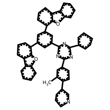 Cc1cc(-c2nc(-c3ccccc3)nc(-c3cc(-c4cccc5c4oc4ccccc45)cc(-c4cccc5c4oc4ccccc45)c3)n2)ccc1-c1cccnc1